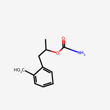 CC(Cc1ccccc1C(=O)O)OC(N)=O